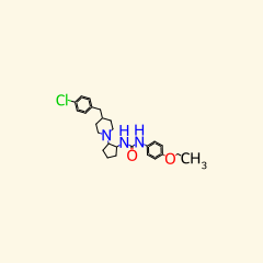 CCOc1ccc(NC(=O)NC2CCCC2N2CCC(Cc3ccc(Cl)cc3)CC2)cc1